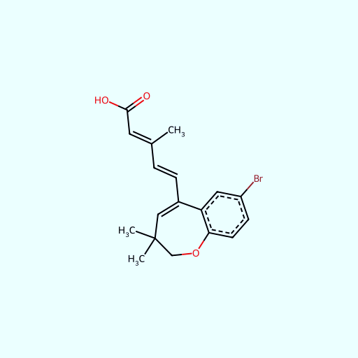 CC(/C=C/C1=CC(C)(C)COc2ccc(Br)cc21)=C\C(=O)O